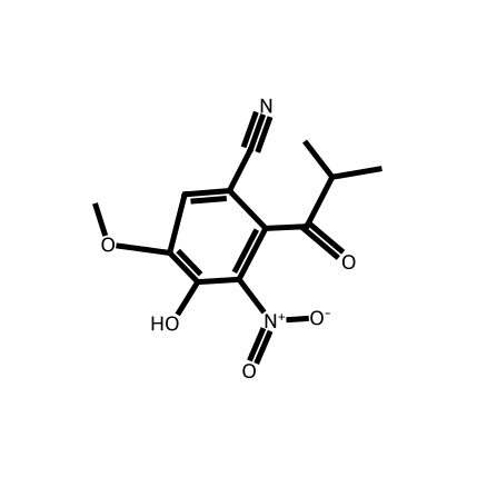 COc1cc(C#N)c(C(=O)C(C)C)c([N+](=O)[O-])c1O